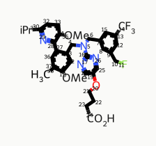 COc1cc(CN(Cc2cc(CF)cc(C(F)(F)F)c2)c2ncc(OCCCC(=O)O)cn2)c(-c2nc(C(C)C)ccc2OC)cc1C